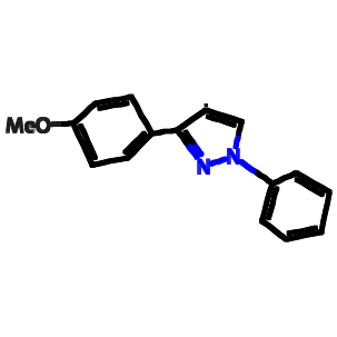 COc1ccc(-c2[c]cn(-c3ccccc3)n2)cc1